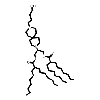 CCCCCCCC(CCCCCCC)C(=O)OCC(COC(=O)C(CCCCCCC)CCCCCCC)N1CCC2(CCN(CCCCO)CC2)CC1